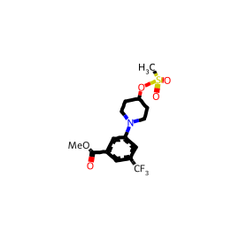 COC(=O)c1cc(N2CCC(OS(C)(=O)=O)CC2)cc(C(F)(F)F)c1